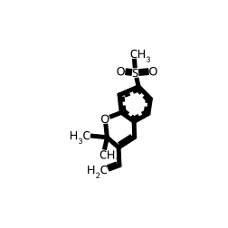 C=CC1=Cc2ccc(S(C)(=O)=O)cc2OC1(C)C